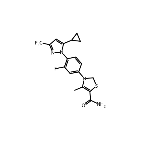 CC1=C(C(N)=O)SCN1c1ccc(-n2nc(C(F)(F)F)cc2C2CC2)c(F)c1